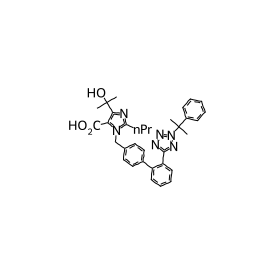 CCCc1nc(C(C)(C)O)c(C(=O)O)n1Cc1ccc(-c2ccccc2-c2nnn(C(C)(C)c3ccccc3)n2)cc1